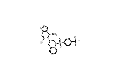 NC1=Nc2[nH]ncc2C(N)N1C1Cc2ccccc2N(S(=O)(=O)c2ccc(C(F)(F)F)cc2)C1